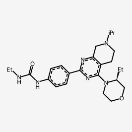 CCNC(=O)Nc1ccc(-c2nc3c(c(N4CCOC[C@@H]4CC)n2)CCN(C(C)C)C3)cc1